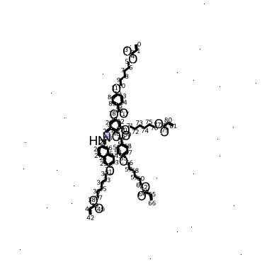 C=CC(=O)OCCCCCCOc1ccc(C(=O)Oc2cc(/C=N/Nc3ccc4cc(OCCCCCCOC(=O)C=C)ccc4c3)c(OC(=O)c3ccc(OCCCCCCOC(=O)C=C)cc3)c(OCCCCCCOC(=O)C=C)c2)cc1